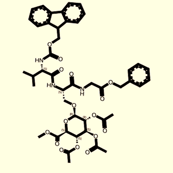 COC(=O)[C@H]1O[C@@H](OC[C@H](NC(=O)[C@@H](NC(=O)OCC2c3ccccc3-c3ccccc32)C(C)C)C(=O)NCC(=O)OCc2ccccc2)[C@H](OC(C)=O)[C@@H](OC(C)=O)[C@@H]1OC(C)=O